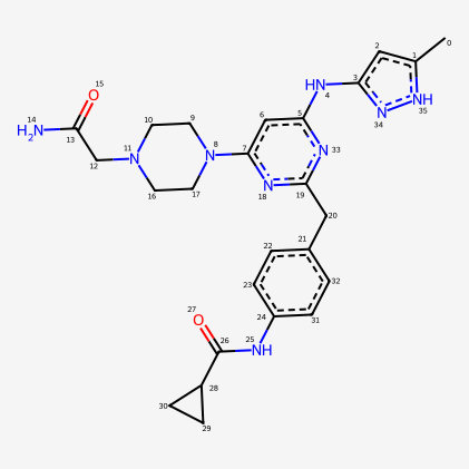 Cc1cc(Nc2cc(N3CCN(CC(N)=O)CC3)nc(Cc3ccc(NC(=O)C4CC4)cc3)n2)n[nH]1